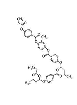 C=CC(=O)Oc1ccc(C(=O)Oc2ccc(OC(=O)c3ccc(OC(CCC)OC(=O)c4ccc(OC(CCC)OC(=O)C=C)cc4)cc3)cc2C)cc1